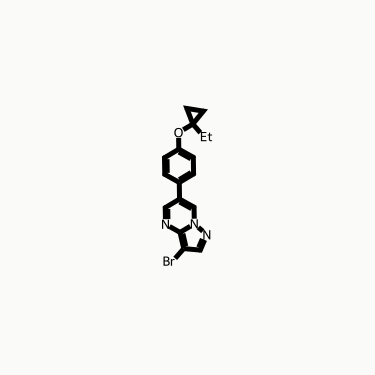 CCC1(Oc2ccc(-c3cnc4c(Br)cnn4c3)cc2)CC1